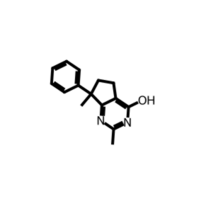 Cc1nc(O)c2c(n1)C(C)(c1ccccc1)CC2